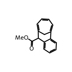 COC(=O)C1C2=CC=CC=C(C2)c2ccccc21